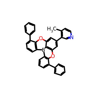 Cc1ccncc1-c1cc2c3c(c1)Oc1c(cccc1-c1ccccc1)B3c1cccc(-c3ccccc3)c1O2